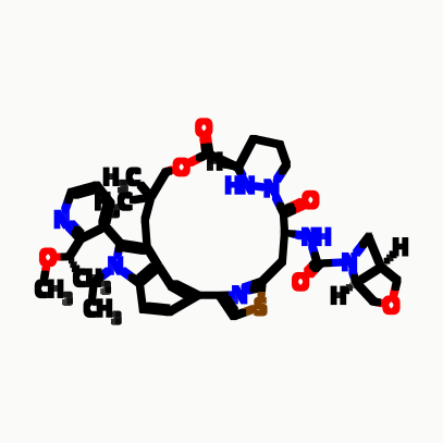 CCn1c(-c2cccnc2[C@H](C)OC)c2c3cc(ccc31)-c1csc(n1)C[C@H](NC(=O)N1C[C@H]3COC[C@H]31)C(=O)N1CCC[C@H](N1)C(=O)OCC(C)(C)C2